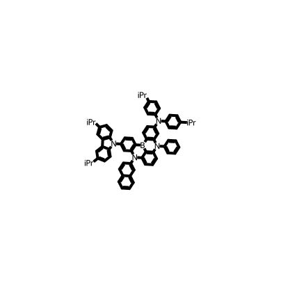 CC(C)c1ccc(N(c2ccc(C(C)C)cc2)c2ccc3c(c2)N(c2ccccc2)c2cccc4c2B3c2ccc(-n3c5ccc(C(C)C)cc5c5cc(C(C)C)ccc53)cc2N4c2ccc3ccccc3c2)cc1